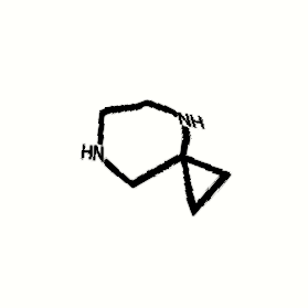 C1CNC2(CC2)CN1